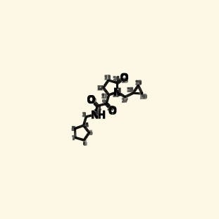 O=C(NCC1CCCC1)C(=O)C1CCC(=O)N1CC1CC1